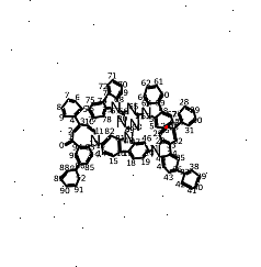 C=C1/C=C(c2ccccc2)\C=C/N(c2ccc3c4ccc(-n5c6ccc(-c7ccccc7)cc6c6cc(-c7ccccc7)ccc65)cc4n(-c4nc(-n5c6ccccc6c6ccccc65)nc(-n5c6ccccc6c6ccccc65)n4)c3c2)c2ccc(C3C=CC=CC3)cc21